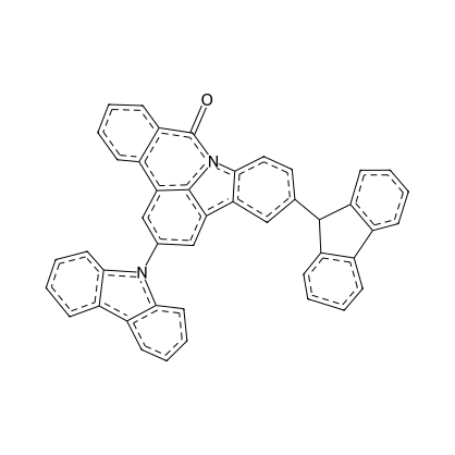 O=c1c2ccccc2c2cc(-n3c4ccccc4c4ccccc43)cc3c4cc(C5c6ccccc6-c6ccccc65)ccc4n1c23